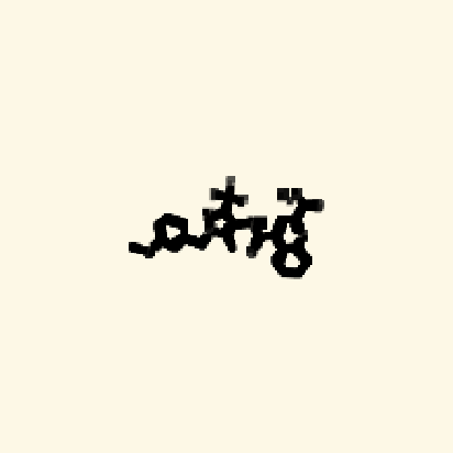 COc1cccc(Cn2nc(C(F)(F)F)c(NC(=O)c3cc(C(N)=O)nc4ccccc34)c2C)c1